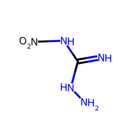 N=C(NN)N[N+](=O)[O-]